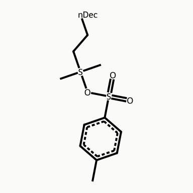 CCCCCCCCCCCCS(C)(C)OS(=O)(=O)c1ccc(C)cc1